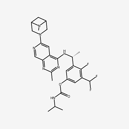 Cc1nc(N[C@H](C)c2cc(OC(=O)NC(C)C)cc(C(F)F)c2F)c2cc(N3CC4CC(C3)N4C)ncc2n1